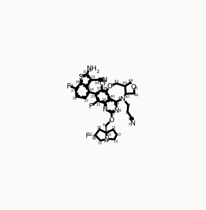 N#CCCN1c2nc(OC[C@@]34CCCN3C[C@H](F)C4)nc3c(F)c(-c4ccc(F)c5sc(N)c(C#N)c45)c(Cl)c(c23)OCC2COCC21